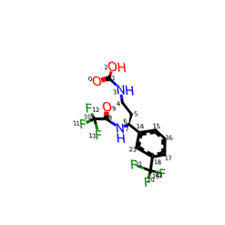 O=C(O)NCC[C@H](NC(=O)C(F)(F)F)c1cccc(C(F)(F)F)c1